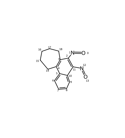 O=Nc1c2c(c3ccccc3c1N=O)CCCCC2